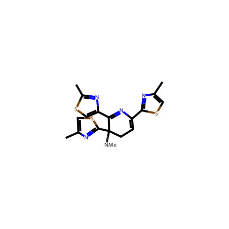 CNC1(c2nc(C)cs2)CC=C(c2nc(C)cs2)N=C1c1csc(C)n1